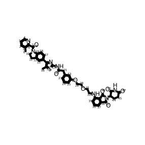 Cc1cccnc1C(=O)N1CCc2cc(-c3nc(NC(=O)Cc4cccc(OCCOCCNc5cccc6c5C(=O)N(C5CCC(=O)NC5=O)C6=O)c4)sc3C)ccc21